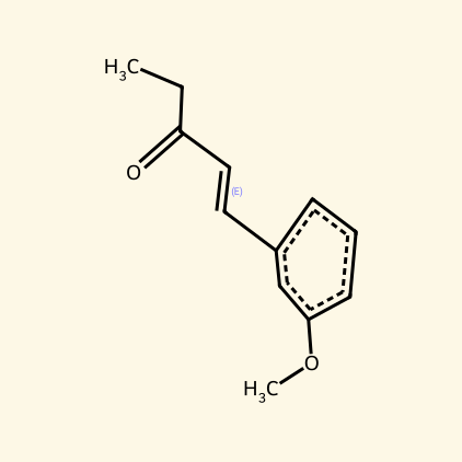 CCC(=O)/C=C/c1cccc(OC)c1